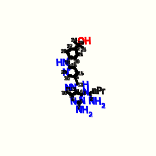 CCCC(N)Nc1nc(N)nc2cnn(Cc3ccc(Nc4ccc(C(C)(C)O)cc4)nc3)c12